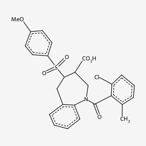 COc1ccc(S(=O)(=O)C2Cc3ccccc3N(C(=O)c3c(C)cccc3Cl)CC2C(=O)O)cc1